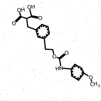 COc1ccc(NC(=O)OCCc2cccc(CC(C(=O)O)C(=O)O)c2)cc1